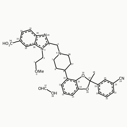 COCCn1c(CN2CCC(c3cccc4c3OC(C)(c3cccc(C#N)c3)O4)CC2)nc2ccc(C(=O)O)cc21.O=CO